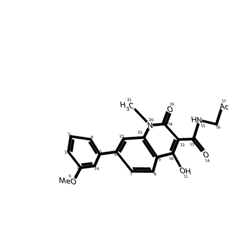 COc1cccc(-c2ccc3c(O)c(C(=O)NCC(C)=O)c(=O)n(C)c3c2)c1